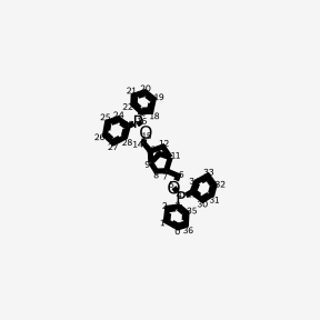 c1ccc(P(OCC2CC3CC2CC3COP(c2ccccc2)c2ccccc2)c2ccccc2)cc1